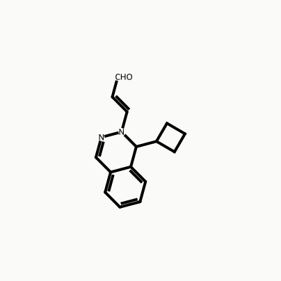 O=CC=CN1N=Cc2ccccc2C1C1CCC1